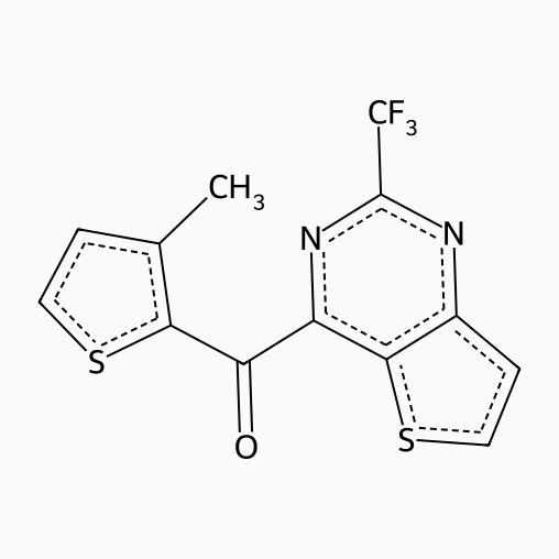 Cc1ccsc1C(=O)c1nc(C(F)(F)F)nc2ccsc12